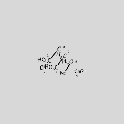 CC(=O)O.CC(=O)O.CC(=O)[O-].[Ca+2].[Cl-]